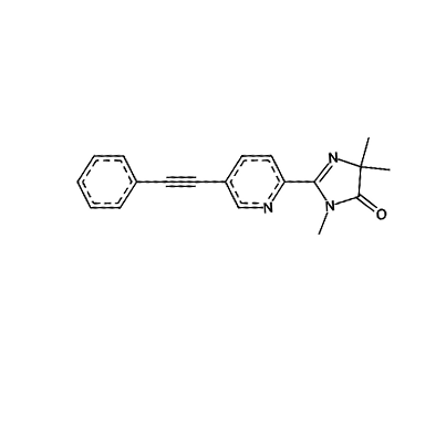 CN1C(=O)C(C)(C)N=C1c1ccc(C#Cc2ccccc2)cn1